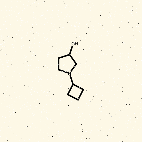 OC1CCN(C2CCC2)C1